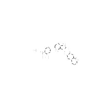 O=CNc1ccc(-c2ccc3ncn(Cc4cc5cccnc5cc4F)c3n2)cc1Cl